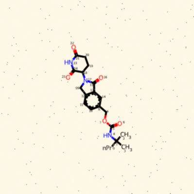 CCCC(C)(C)NC(=O)OCc1ccc2c(c1)C(=O)N(C1CCC(=O)NC1=O)C2